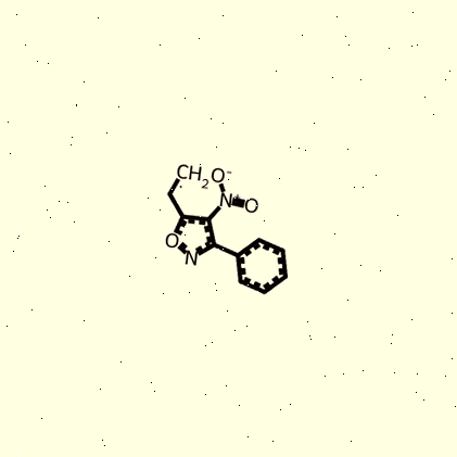 [CH2]Cc1onc(-c2ccccc2)c1[N+](=O)[O-]